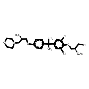 CC(=O)O[C@H](CCl)COc1c(Cl)cc(C(C)(C)c2ccc(OC[C@H](C)CN3CCOCC3)cc2)cc1Cl